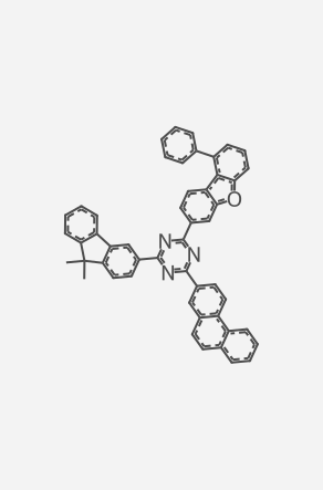 CC1(C)c2ccccc2-c2cc(-c3nc(-c4ccc5c(ccc6ccccc65)c4)nc(-c4ccc5c(c4)oc4cccc(-c6ccccc6)c45)n3)ccc21